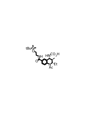 CC[C@H]1[C@H](C)[C@@H](NC(=O)O)c2cc(C(=O)NCCO[Si](C)(C)C(C)(C)C)ccc2N1C(C)=O